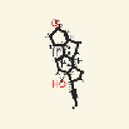 CC#C[C@]1(O)CC[C@H]2[C@@H]3CCC4=CC(=O)CC[C@@H]4C3=CC[C@@]21C